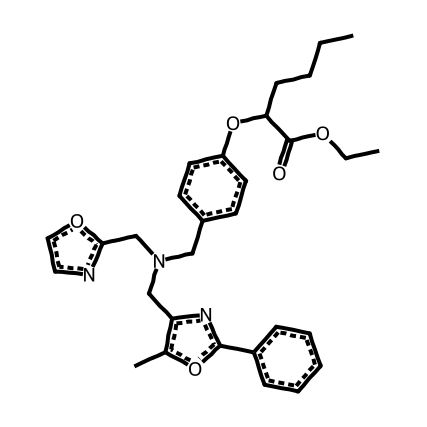 CCCCC(Oc1ccc(CN(Cc2ncco2)Cc2nc(-c3ccccc3)oc2C)cc1)C(=O)OCC